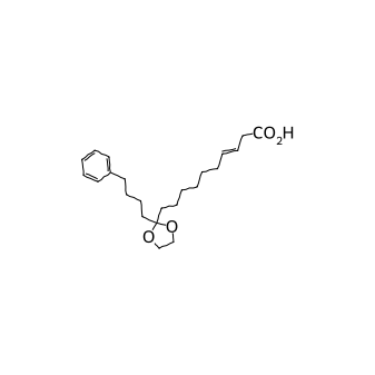 O=C(O)CC=CCCCCCCC1(CCCCc2ccccc2)OCCO1